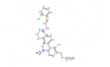 CCOC(=O)CCc1ccc(N(C)Cc2cccc3c2CCCN3CCOc2ccccc2F)cc1F